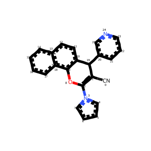 N#CC1=C(n2cccc2)Oc2c(ccc3ccccc23)C1c1cccnc1